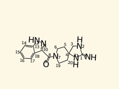 N=C1NCC2(CCN(C(=O)c3n[nH]c4ccccc34)CC2)N1